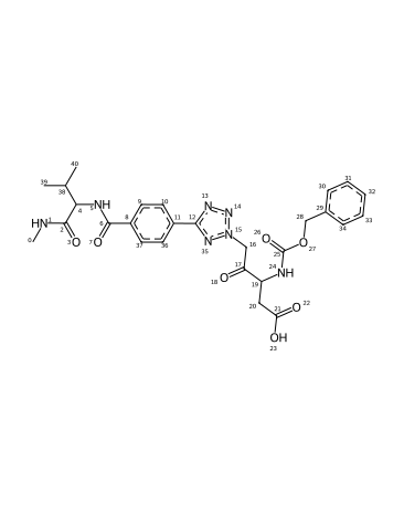 CNC(=O)C(NC(=O)c1ccc(-c2nnn(CC(=O)C(CC(=O)O)NC(=O)OCc3ccccc3)n2)cc1)C(C)C